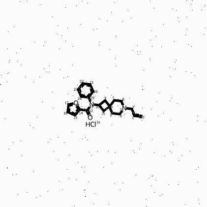 C=CCN1CCC2(CC1)CC(N(C(=O)c1ccco1)c1ccccc1)C2.Cl